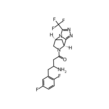 NC(CC(=O)N1C[C@@H]2C[C@H]1c1nnc(C(F)(F)F)n12)Cc1cc(F)ccc1F